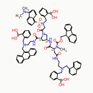 CN(C)c1cccc2c(S(=O)(=O)N(CC(=O)N3C[C@@H](NC(=O)[C@H](CC(=O)NCCN(Cc4ccccc4B(O)O)Cc4cccc5ccccc45)N(C)C(=O)OCC4c5ccccc5-c5ccccc54)C[C@H]3C(=O)NCCN(Cc3ccccc3B(O)O)Cc3c4ccccc4cc4ccccc34)Cc3ccccc3B(O)O)cccc12